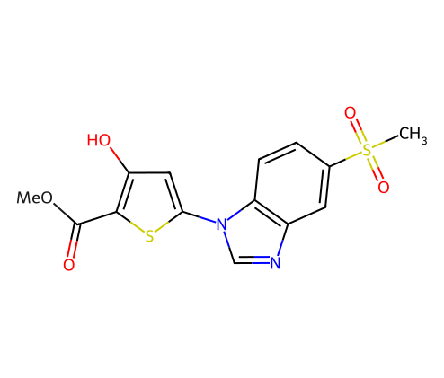 COC(=O)c1sc(-n2cnc3cc(S(C)(=O)=O)ccc32)cc1O